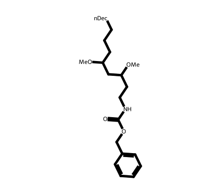 CCCCCCCCCCCCCC(CC(CCNC(=O)OCc1ccccc1)OC)OC